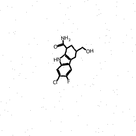 NC(=O)C1CC(CO)Cc2c1[nH]c1cc(Cl)c(F)cc21